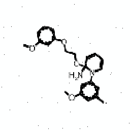 [CH2]c1cc(OC)cc(N2C=CC=CC2(N)OCCOc2cccc(OC)c2)c1